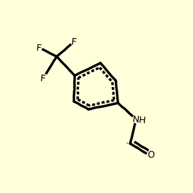 O=[C]Nc1ccc(C(F)(F)F)cc1